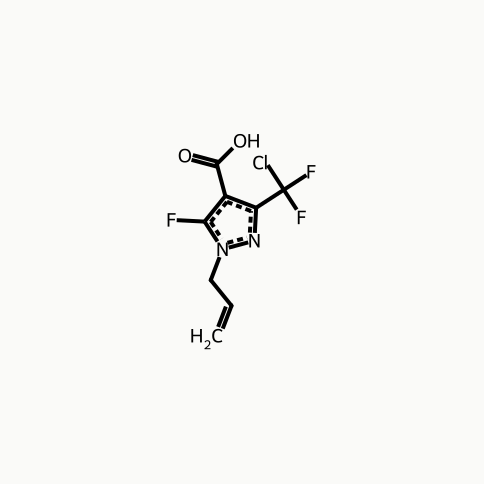 C=CCn1nc(C(F)(F)Cl)c(C(=O)O)c1F